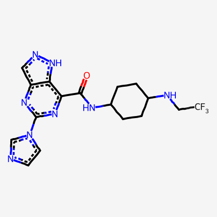 O=C(NC1CCC(NCC(F)(F)F)CC1)c1nc(-n2ccnc2)nc2cn[nH]c12